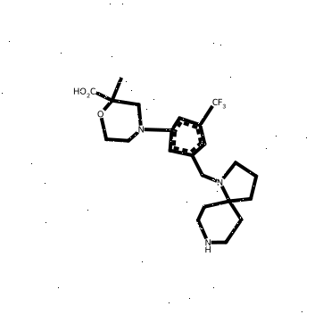 CC1(C(=O)O)CN(c2cc(CN3CCCC34CCNCC4)cc(C(F)(F)F)c2)CCO1